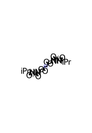 CC(C)C(=O)N[C@@H](C)C(=O)NCOC(=O)/C=C/C(=O)OCNC(=O)[C@H](C)NC(=O)C(C)C